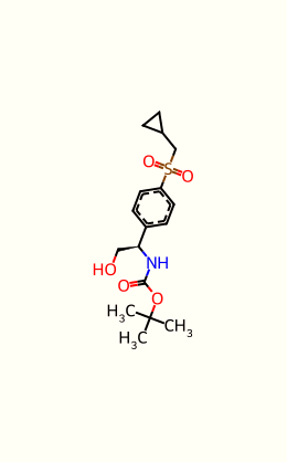 CC(C)(C)OC(=O)N[C@@H](CO)c1ccc(S(=O)(=O)CC2CC2)cc1